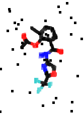 CC(=O)Oc1c(C)cccc1C(=O)Nc1coc(C(F)(F)F)n1